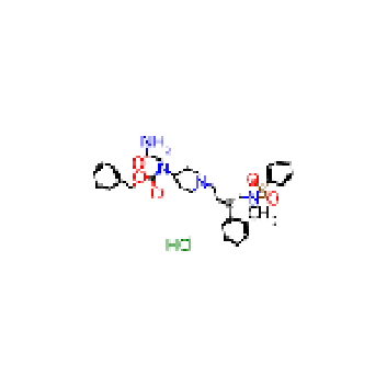 CN(C[C@@H](CCN1CCC(N(CC(N)=O)C(=O)OCc2ccccc2)CC1)c1ccccc1)S(=O)(=O)c1ccccc1.Cl